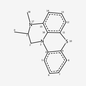 CC1CN2c3ccccc3Sc3cccc(c32)N1C